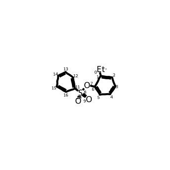 C[CH]c1ccccc1OS(=O)(=O)c1ccccc1